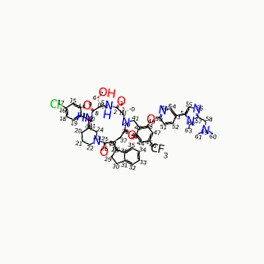 C[C@H]1C(=O)N[C@@H](CO)C(=O)N[C@@]2(Cc3ccc(Cl)cc3)CCCN(C2)C(=O)[C@H]([C@@H]2CCc3ccccc32)CC(=O)N1Cc1ccc(C(F)(F)F)cc1Oc1ccc(-c2cnc(CN(C)C)n2C)cn1